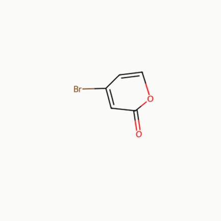 O=c1cc(Br)cco1